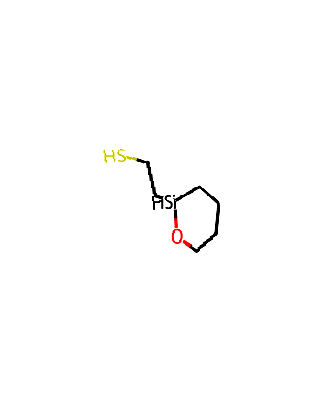 SCC[SiH]1CCCCO1